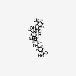 O=C(O)c1ccc(C(=O)Nc2ccc(C[C@@H](CO)NC[C@@H](O)c3cccc(Cl)c3)cc2)cc1.[NaH]